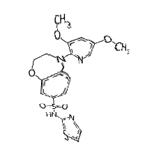 COc1cnc(N2CCOc3cc(S(=O)(=O)Nc4nccs4)ccc32)c(OC)c1